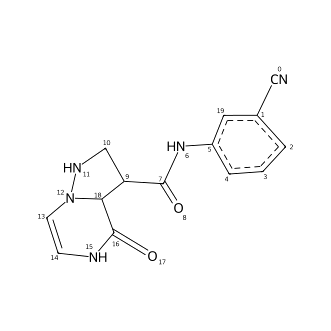 N#Cc1cccc(NC(=O)C2CNN3C=CNC(=O)C23)c1